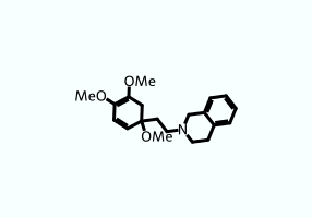 COC1=C(OC)CC(CCN2CCc3ccccc3C2)(OC)C=C1